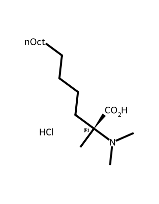 CCCCCCCCCCCC[C@](C)(C(=O)O)N(C)C.Cl